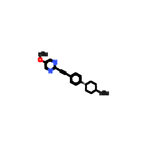 CCCCOc1cnc(C#Cc2ccc([C@H]3CC[C@H](CCCC)CC3)cc2)nc1